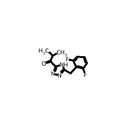 CC(C)C(=O)c1nnc(Cc2c(F)cccc2F)[nH]1